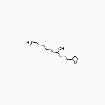 CCCCCCCC(O)CCCC1CCO1